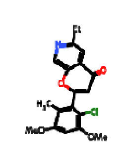 CCc1cc2c(=O)cc(-c3c(C)c(OC)cc(OC)c3Cl)oc2cn1